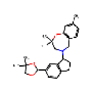 Cc1ccc2c(c1)OC(C)(C)CN(C1CCc3ccc(B4OCC(C)(C)O4)cc31)C2